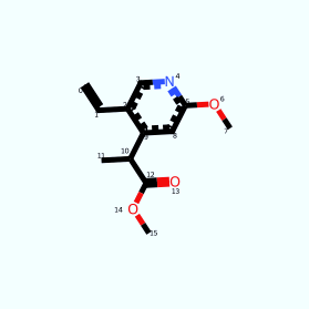 C=Cc1cnc(OC)cc1C(C)C(=O)OC